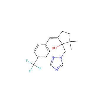 CC1(C)CCC(=Cc2ccc(C(F)(F)F)cc2)C1(O)Cn1cncn1